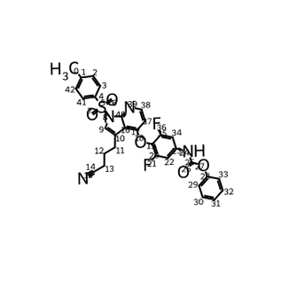 Cc1ccc(S(=O)(=O)n2cc(CCCC#N)c3c(Oc4c(F)cc(NC(=O)Oc5ccccc5)cc4F)ccnc32)cc1